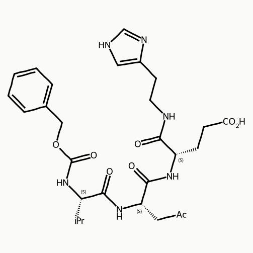 CC(=O)C[C@H](NC(=O)[C@@H](NC(=O)OCc1ccccc1)C(C)C)C(=O)N[C@@H](CCC(=O)O)C(=O)NCCc1c[nH]cn1